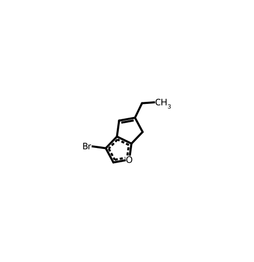 CCC1=Cc2c(Br)coc2C1